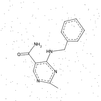 Cc1ncc(C(N)=O)c(NCc2ccccc2)n1